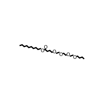 CCCCCCCCCCOC(=O)CCCOCCOCCOCCOCCCC